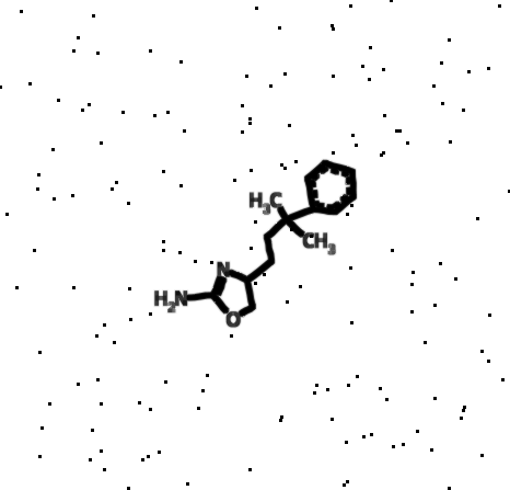 CC(C)(CCC1COC(N)=N1)c1ccccc1